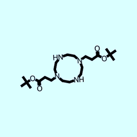 CC(C)(C)OC(=O)CCN1CCNCCN(CCC(=O)OC(C)(C)C)CCNCC1